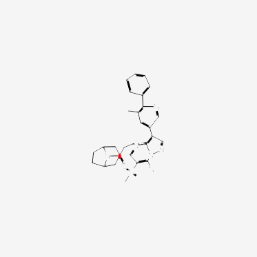 CS(=O)(=O)c1c([C@@H]2C[C@H]3CC[C@@H](C2)N3C(=O)CO)nc2c(-c3cnc(-c4ccccc4)c(O)c3)cnn2c1N